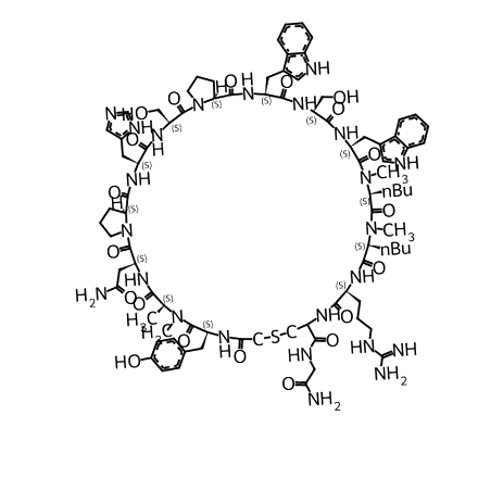 CCCC[C@H]1C(=O)N(C)[C@@H](CCCC)C(=O)N[C@@H](CCCNC(=N)N)C(=O)NC(C(=O)NCC(N)=O)CSCC(=O)N[C@@H](Cc2ccc(O)cc2)C(=O)N(C)[C@@H](C)C(=O)N[C@@H](CC(N)=O)C(=O)N2CCC[C@H]2C(=O)N[C@@H](Cc2cnc[nH]2)C(=O)N[C@@H](CO)C(=O)N2CCC[C@H]2C(=O)N[C@@H](Cc2c[nH]c3ccccc23)C(=O)N[C@@H](CO)C(=O)N[C@@H](Cc2c[nH]c3ccccc23)C(=O)N1C